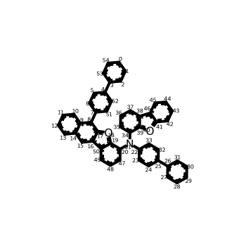 c1ccc(-c2ccc(-c3c4ccccc4cc4c3oc3c(N(c5ccc(-c6ccccc6)cc5)c5cccc6c5oc5ccccc56)cccc34)cc2)cc1